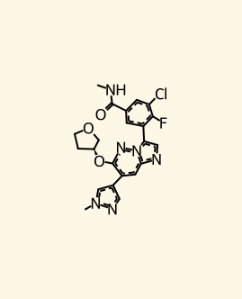 CNC(=O)c1cc(Cl)c(F)c(-c2cnc3cc(-c4cnn(C)c4)c(O[C@H]4CCOC4)nn23)c1